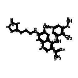 COc1cc2c(Nc3cccc(CO)c3C)c(C(N)=O)cnc2cc1OCCCC1CCNC1